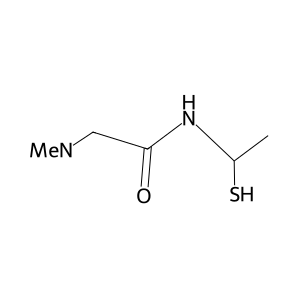 CNCC(=O)NC(C)S